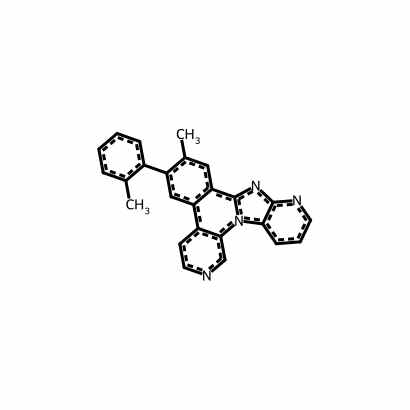 Cc1ccccc1-c1cc2c3ccncc3n3c4cccnc4nc3c2cc1C